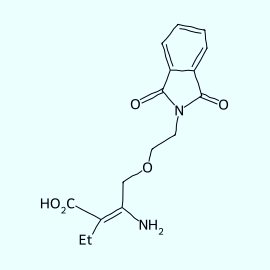 CCC(C(=O)O)=C(N)COCCN1C(=O)c2ccccc2C1=O